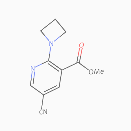 COC(=O)c1cc(C#N)cnc1N1CCC1